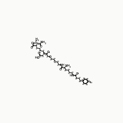 CN(C(N)=O)[C@@H](CCCCN(CC(=O)O)C(=O)COCCOCCNC(=O)[C@@H](N)CCCCNC(=O)CCCc1ccc(I)cc1)C(=O)O